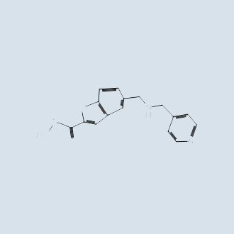 O=C(NO)c1cc2cc(CNCc3ccncc3)ccc2o1